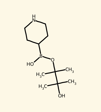 CC(C)(O)C(C)(C)OB(O)C1CCNCC1